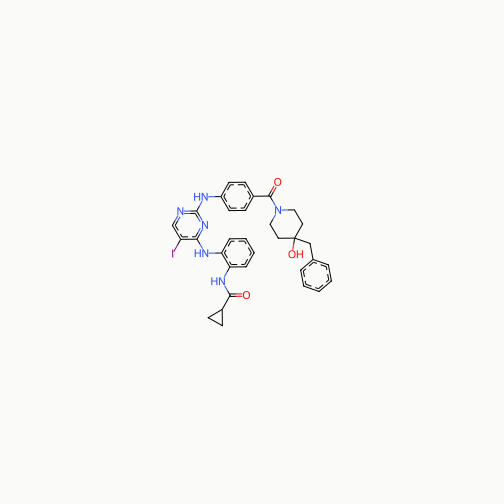 O=C(Nc1ccccc1Nc1nc(Nc2ccc(C(=O)N3CCC(O)(Cc4ccccc4)CC3)cc2)ncc1I)C1CC1